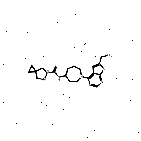 O=C(NC1CCCN(c2ncnc3sc(CC(F)(F)F)cc23)CC1)[C@@H]1CC2(CC2)CN1